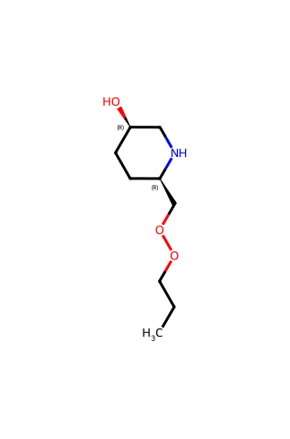 CCCOOC[C@H]1CC[C@@H](O)CN1